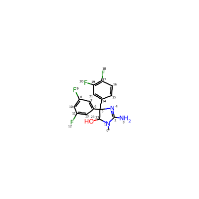 CN1C(N)=NC(c2cc(F)cc(F)c2)(c2ccc(F)c(F)c2)C1O